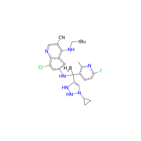 BC(Nc1cc(Cl)c2ncc(C#N)c(NCC(C)(C)C)c2c1)(C1=CN(C2CC2)NN1)c1ccc(F)nc1C